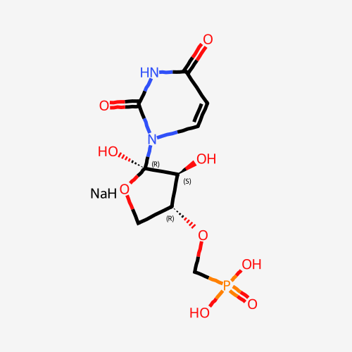 O=c1ccn([C@]2(O)OC[C@@H](OCP(=O)(O)O)[C@@H]2O)c(=O)[nH]1.[NaH]